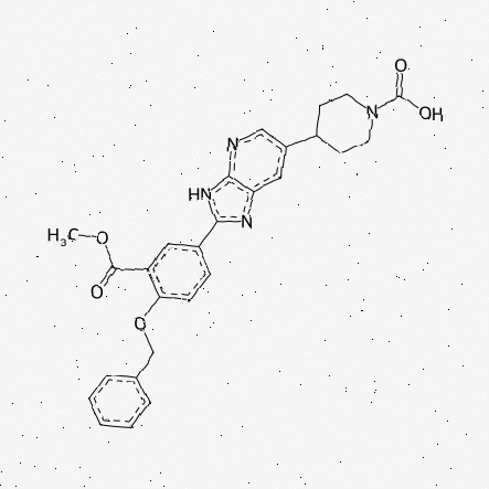 COC(=O)c1cc(-c2nc3cc(C4CCN(C(=O)O)CC4)cnc3[nH]2)ccc1OCc1ccccc1